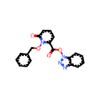 O=C(On1nnc2ccccc21)c1cccc(=O)n1OCc1ccccc1